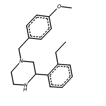 CCc1ccccc1C1CN(Cc2ccc(OC)cc2)CCN1